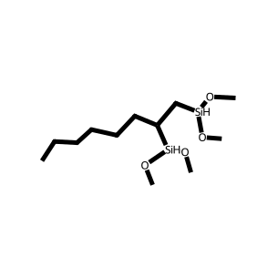 CCCCCCC(C[SiH](OC)OC)[SiH](OC)OC